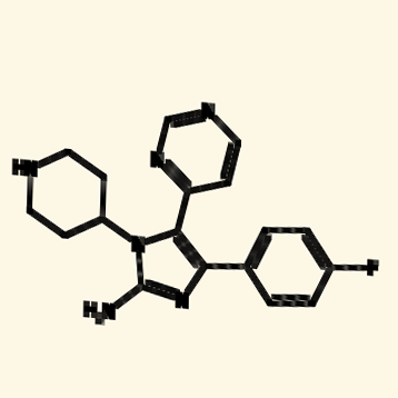 Nc1nc(-c2ccc(F)cc2)c(-c2ccncn2)n1C1CCNCC1